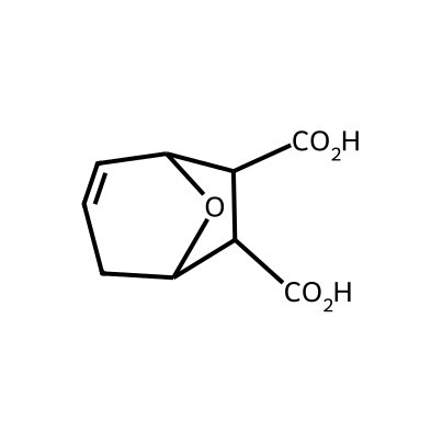 O=C(O)C1C2C=CCC(O2)C1C(=O)O